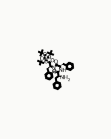 CC(C)(C)O[Si](OC(=O)[C@H](Cc1ccccc1)NC(=O)[C@H](Cc1ccccc1)NC(=O)[C@@H](N)Cc1ccccc1)(OC(C)(C)C)OC(C)(C)C